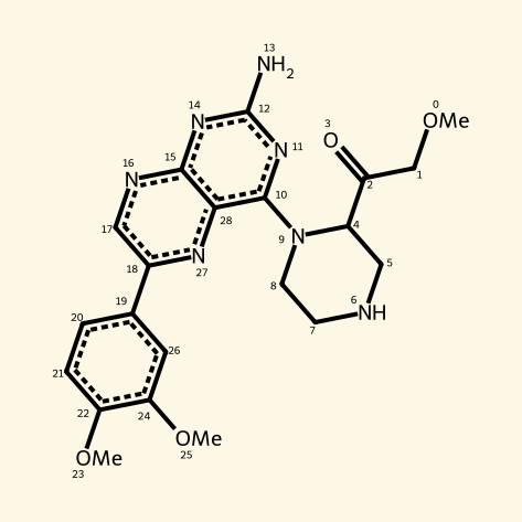 COCC(=O)C1CNCCN1c1nc(N)nc2ncc(-c3ccc(OC)c(OC)c3)nc12